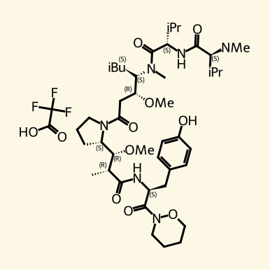 CC[C@H](C)[C@@H]([C@@H](CC(=O)N1CCC[C@H]1[C@H](OC)[C@@H](C)C(=O)N[C@@H](Cc1ccc(O)cc1)C(=O)N1CCCCO1)OC)N(C)C(=O)[C@@H](NC(=O)[C@@H](NC)C(C)C)C(C)C.O=C(O)C(F)(F)F